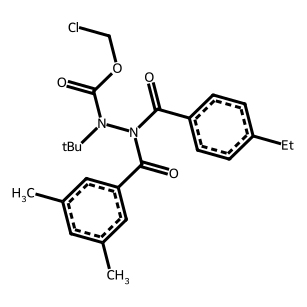 CCc1ccc(C(=O)N(C(=O)c2cc(C)cc(C)c2)N(C(=O)OCCl)C(C)(C)C)cc1